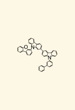 c1ccc(-c2cccc(-n3c4ccccc4c4cc(-c5ccc6c7ccccc7n(-c7cccc8c7oc7ccccc78)c6c5)ccc43)c2)cc1